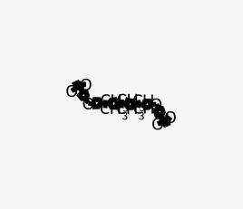 CC(C)(c1ccc(Oc2ccc(N3C(=O)C=CC3=O)cc2)cc1)c1ccc(C(C)(C)c2ccc(C(C)(C)c3ccc(Oc4ccc(N5C(=O)C=CC5=O)cc4)cc3)cc2)cc1